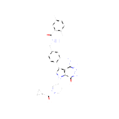 Cc1ccc(C)c(C(=O)NCc2ccc(-c3cn([C@@H]4CCN(C(=O)C5CC5)C4)c4c(=O)[nH]nc(N)c34)cc2)c1